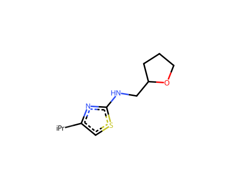 CC(C)c1csc(NCC2CCCO2)n1